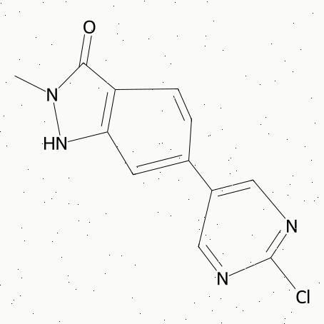 Cn1[nH]c2cc(-c3cnc(Cl)nc3)ccc2c1=O